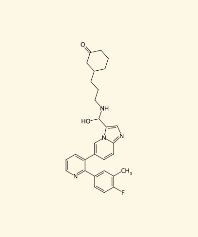 Cc1cc(-c2ncccc2-c2ccc3ncc(C(O)NCCCC4CCCC(=O)C4)n3c2)ccc1F